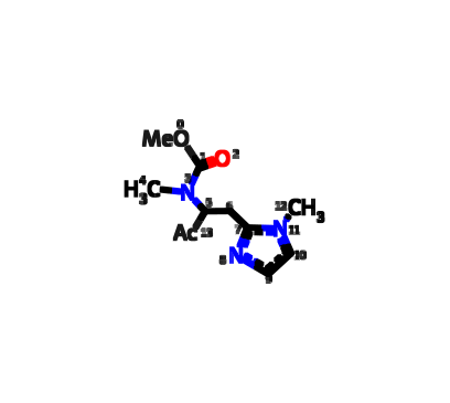 COC(=O)N(C)C(Cc1nccn1C)C(C)=O